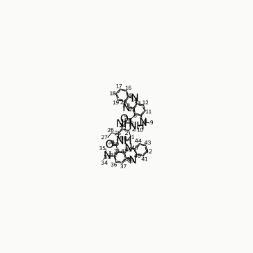 CCC(NC(=O)c1c(N(C)C)ccc2nc3ccccc3nc12)C(N)C(CC)NC(=O)c1c(N(C)C)ccc2nc3ccccc3nc12